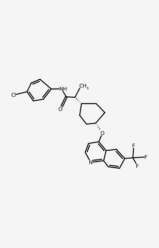 CC(C(=O)Nc1ccc(Cl)cc1)[C@H]1CC[C@@H](Oc2ccnc3ccc(C(F)(F)F)cc23)CC1